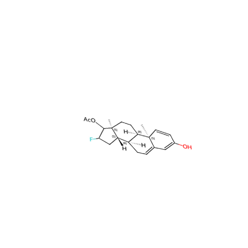 CC(=O)OC1C(F)C[C@H]2[C@@H]3CC=C4C=C(O)C=C[C@]4(C)[C@@H]3CC[C@]12C